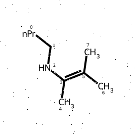 CCCCNC(C)=C(C)C